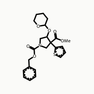 COC(=O)C1(c2cccs2)CN(C(=O)OCc2ccccc2)CC1OC1CCCCO1